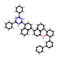 c1ccc(-c2cccc(-c3cccc4c3Oc3ccc(-c5ccc(-c6nc(-c7ccccc7)nc(-c7ccccc7)n6)c6ccccc56)c5cccc-4c35)c2)cc1